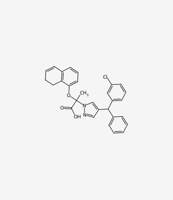 CC(Oc1cccc2c1CCC=C2)(C(=O)O)n1cc(C(c2ccccc2)c2cccc(Cl)c2)cn1